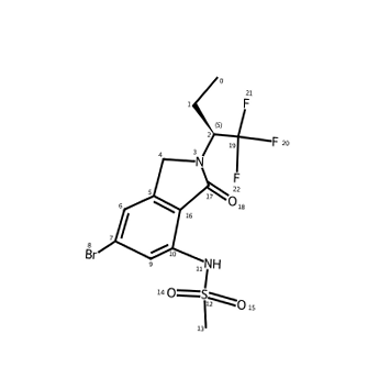 CC[C@H](N1Cc2cc(Br)cc(NS(C)(=O)=O)c2C1=O)C(F)(F)F